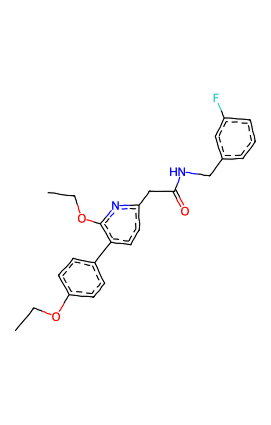 CCOc1ccc(-c2ccc(CC(=O)NCc3cccc(F)c3)nc2OCC)cc1